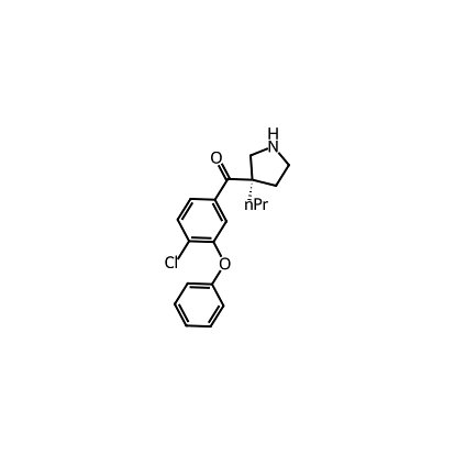 CCC[C@@]1(C(=O)c2ccc(Cl)c(Oc3ccccc3)c2)CCNC1